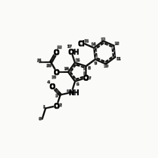 CCOC(=O)Nc1oc(-c2ccccc2Cl)c(O)c1OC(C)=O